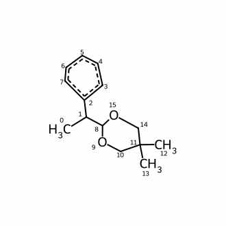 CC(c1ccccc1)C1OCC(C)(C)CO1